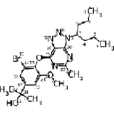 CCCC(CCC)n1nnc2c(Oc3c(Br)cc(C(C)(C)O)cc3OC)nc(C)nc21